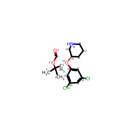 CC(C)(C)OC=O.Clc1cc(Cl)cc(O[C@@H]2CCCNC2)c1